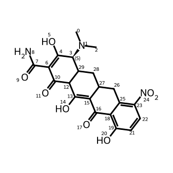 CN(C)[C@@H]1C(O)=C(C(N)=O)C(=O)C2C(O)=C3C(=O)c4c(O)ccc([N+](=O)[O-])c4CC3CC21